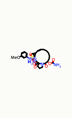 COc1cccc(NS(=O)(=O)C23CC2C=CCCCCCC(OC(N)=O)C(=O)N2CCCC2(C(N)=O)C(=O)N3)c1